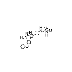 Nc1ncnc2c1c(-c1ccc(Oc3ccccc3)cc1)cn2[C@H]1CC[C@H](NCc2n[nH]c(=O)[nH]2)CC1